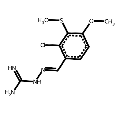 COc1ccc(C=NNC(=N)N)c(Cl)c1SC